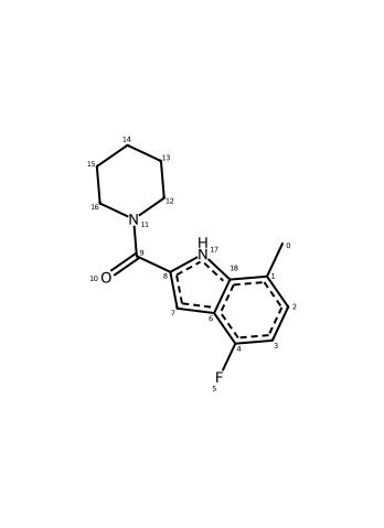 Cc1ccc(F)c2cc(C(=O)N3CCCCC3)[nH]c12